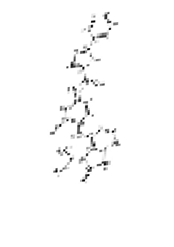 CC(C)n1c(=O)[nH]c2nccc(Oc3ccc(NC(=O)c4ncc(-c5ccccc5)s4)cc3F)c21